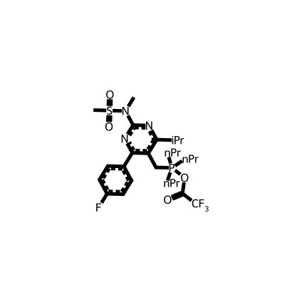 CCCP(CCC)(CCC)(Cc1c(-c2ccc(F)cc2)nc(N(C)S(C)(=O)=O)nc1C(C)C)OC(=O)C(F)(F)F